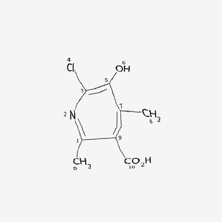 Cc1nc(Cl)c(O)c(C)c1C(=O)O